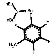 CCCCN(CCCC)CCCC.Fc1c(F)c(F)[c]([AlH2])c(F)c1F